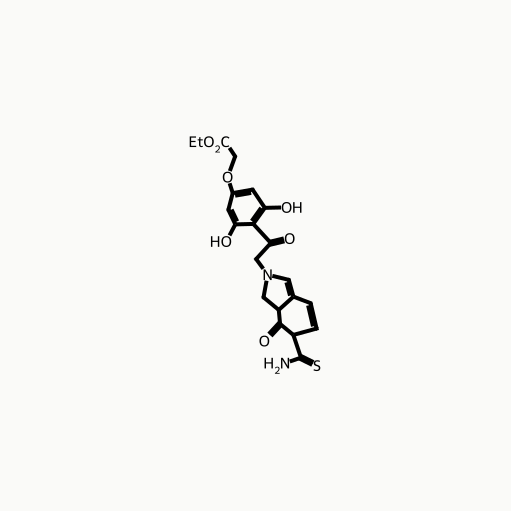 CCOC(=O)COc1cc(O)c(C(=O)CN2C=C3C=CC(C(N)=S)C(=O)C3C2)c(O)c1